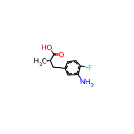 C[C@H](Cc1ccc(F)c(N)c1)C(=O)O